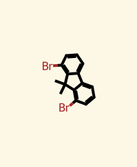 CC1(C)c2c(Br)cccc2-c2cccc(Br)c21